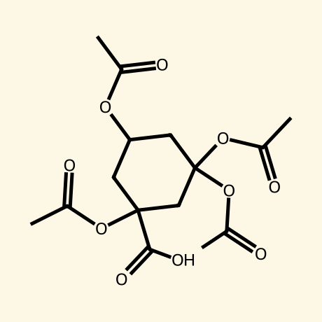 CC(=O)OC1CC(OC(C)=O)(OC(C)=O)CC(OC(C)=O)(C(=O)O)C1